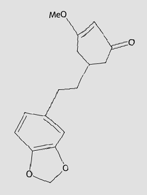 COC1=CC(=O)CC(CCc2ccc3c(c2)OCO3)C1